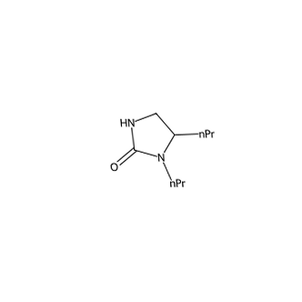 CCCC1CNC(=O)N1CCC